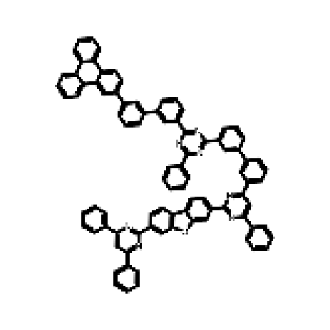 c1ccc(-c2cc(-c3ccccc3)nc(-c3ccc4c(c3)oc3cc(-c5nc(-c6ccccc6)cc(-c6cccc(-c7cccc(-c8nc(-c9ccccc9)nc(-c9cccc(-c%10cccc(-c%11ccc%12c%13ccccc%13c%13ccccc%13c%12c%11)c%10)c9)n8)c7)c6)n5)ccc34)n2)cc1